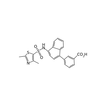 Cc1nc(C)c(S(=O)(=O)Nc2ccc(-c3cccc(C(=O)O)c3)c3ccccc23)s1